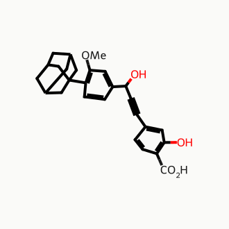 COc1cc(C(O)C#Cc2ccc(C(=O)O)c(O)c2)ccc1C12CC3CC(CC(C3)C1)C2